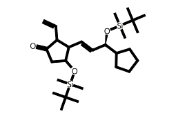 C=CC1C(=O)CC(O[Si](C)(C)C(C)(C)C)C1C=C[C@@H](O[Si](C)(C)C(C)(C)C)C1CCCC1